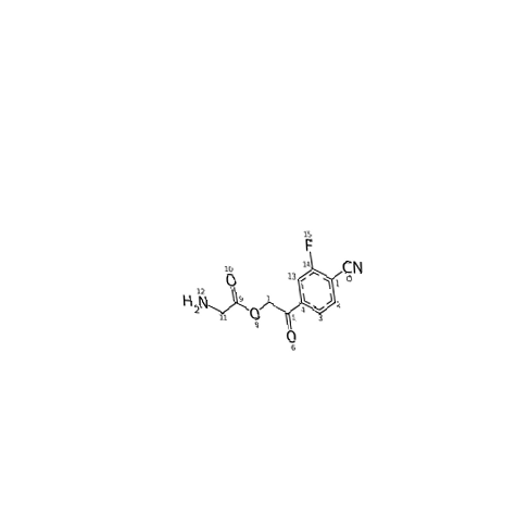 N#Cc1ccc(C(=O)COC(=O)CN)cc1F